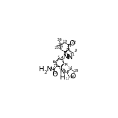 Cc1nn(-c2ccc(C(N)=O)c(N[C@H]3CCOC3)c2)c2c1C(=O)CC(C)(C)C2